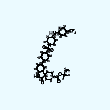 CCCC(C)(C)OC(=O)N1CCC2(CC1)C(=O)Nc1ccc(-c3ccc(S(=O)(=O)N4CCC(Nc5ccc(C(F)(F)F)cn5)CC4)cc3)cc12